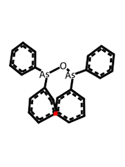 c1ccc([As](O[As](c2ccccc2)c2ccccc2)c2ccccc2)cc1